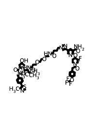 Cc1ncsc1-c1ccc(CNC(=O)[C@@H]2C[C@@H](O)CN2C(=O)[C@@H](NC(=O)CCOCCOCCNC(=O)CCCn2cnc(-c3cnc(O[C@@H]4CCN(C(=O)Cc5ccc(OC(F)(F)F)cc5)C[C@H]4F)c(C(N)=O)c3)c2)C(C)(C)C)cc1